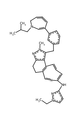 CCn1ccc(NC2=C/C=C/C3=C(/C=N\2)CCc2nn(C)c(Cc4cccc(C5=CN(CC(C)C)CC=C=C5)c4)c23)n1